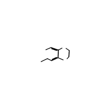 C/C=C1/OCCO/C1=C/CC